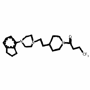 O=C(CCC(F)(F)F)N1CCC(CCN2CCN(c3cccc4c3CCC4)CC2)CC1